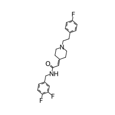 O=C(C=C1CCN(CCc2ccc(F)cc2)CC1)NCc1ccc(F)c(F)c1